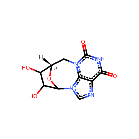 O=c1[nH]c(=O)n2c3c1ncn3C1O[C@@H](C2)C(O)C1O